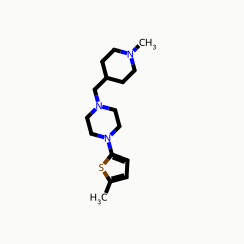 Cc1ccc(N2CCN(CC3CCN(C)CC3)CC2)s1